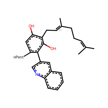 CCCCCc1cc(O)c(C/C=C(\C)CCC=C(C)C)c(O)c1-c1cnc2ccccc2c1